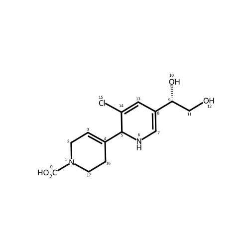 O=C(O)N1CC=C(C2NC=C([C@H](O)CO)C=C2Cl)CC1